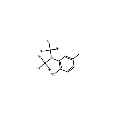 [2H]C([2H])([2H])N(c1cc(C)ccc1C#N)C([2H])([2H])[2H]